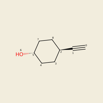 C#C[C@H]1CC[C@H](O)CC1